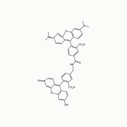 CN(C)c1ccc2c(-c3ccc(C(=O)NCc4ccc(-c5c6ccc(=O)cc-6oc6cc(O)ccc56)c(C(=O)O)c4)cc3C(=O)O)c3ccc(=[N+](C)C)cc-3oc2c1